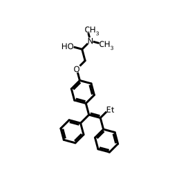 CCC(=C(c1ccccc1)c1ccc(OCC(O)N(C)C)cc1)c1ccccc1